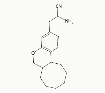 N#CC(N)Cc1ccc2c(c1)OCC1CCCCCCC21